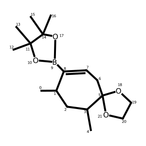 CC1CC(C)C2(CC=C1B1OC(C)(C)C(C)(C)O1)OCCO2